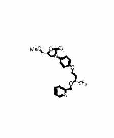 COC[C@H]1CN(c2ccc(OCC[C@@H](OCc3ccccn3)C(F)(F)F)cc2)C(=O)O1